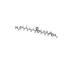 C=CCCCCCCCC(=O)OCCCCCC=CC